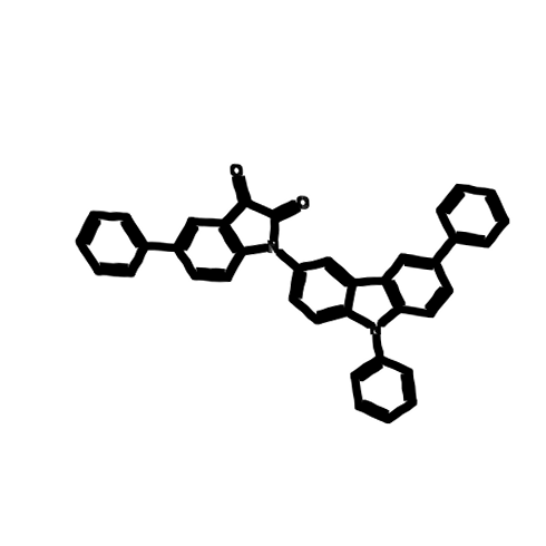 O=C1C(=O)N(c2ccc3c(c2)c2cc(-c4ccccc4)ccc2n3-c2ccccc2)c2ccc(-c3ccccc3)cc21